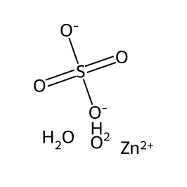 O.O.O=S(=O)([O-])[O-].[Zn+2]